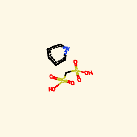 O=S(=O)(O)CS(=O)(=O)O.c1ccncc1